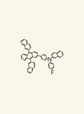 Fc1ccc(N(c2ccc(-c3ccc4c(-c5ccc6ccccc6c5)c5ccccc5c(-c5ccc6ccccc6c5)c4c3)cc2)c2ccc3ccccc3c2)cc1